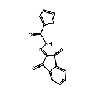 O=C(NN=c1c(=O)c2ccccc2c1=O)c1ccco1